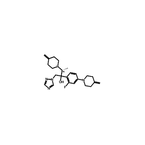 C=C1CCN(c2ccc(C(O)(Cn3cncn3)[C@@H](C)N3CCC(=C)CC3)c(F)c2)CC1